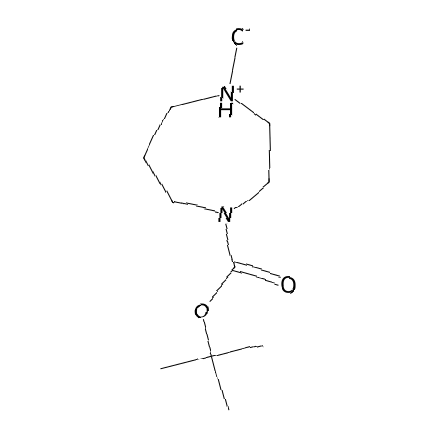 [CH2-][NH+]1CCCN(C(=O)OC(C)(C)C)CC1